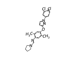 Cc1cc(Oc2ccn(-c3ccc(Cl)c(Cl)c3)n2)c(C)cc1/N=C/N1CCCC1